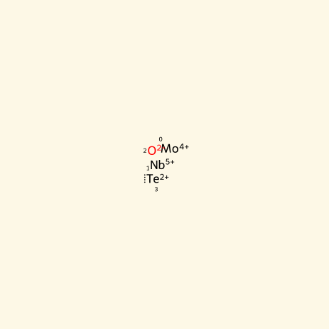 [Mo+4].[Nb+5].[O-2].[Te+2]